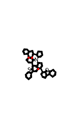 c1ccc(N(c2ccc(-c3cccc4c3oc3ccccc34)cc2)c2ccccc2-c2cccc3c2sc2ccccc23)c(-c2ccc3ccccc3c2)c1